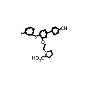 N#Cc1ccc(-c2ccc(Sc3cccc(F)c3)c(OCCN3CCC[C@H]3C(=O)O)c2)cc1